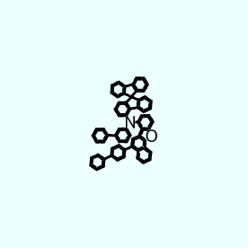 c1ccc(-c2ccc(-c3cc4c(oc5cccc(N(c6cccc(-c7ccccc7)c6)c6cccc7c6-c6ccccc6C76c7ccccc7-c7ccccc76)c54)c4ccccc34)cc2)cc1